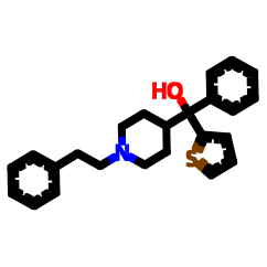 OC(c1ccccc1)(c1cccs1)C1CCN(CCc2ccccc2)CC1